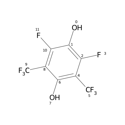 Oc1c(F)c(C(F)(F)F)c(O)c(C(F)(F)F)c1F